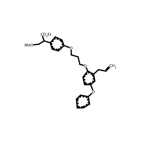 C=CCc1cc(Oc2ccccc2)ccc1OCCCOc1ccc(C(COC)C(=O)OCC)cc1